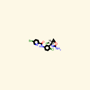 NC1=N[C@@](CF)(c2cc(NC(=O)c3ccc(Br)cn3)ccc2Cl)[C@@H]2C[C@@H]2O1